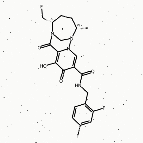 C[C@H]1CC[C@@H](CF)N2CN1n1cc(C(=O)NCc3ccc(F)cc3F)c(=O)c(O)c1C2=O